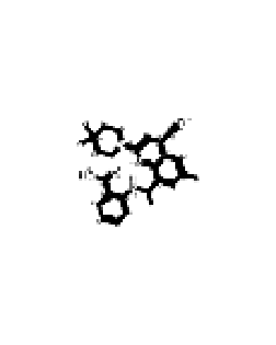 Cc1cc(C(C)Nc2ccccc2C(=O)O)c2nc(N3CCC(C)(C)CC3)cc(C#N)c2c1